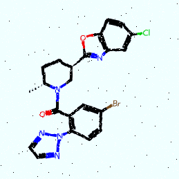 C[C@@H]1CC[C@@H](c2nc3cc(Cl)ccc3o2)CN1C(=O)c1cc(Br)ccc1-n1nccn1